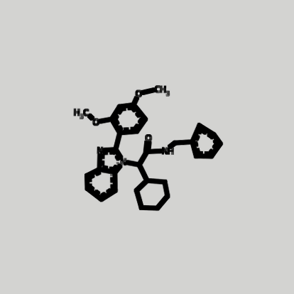 COc1ccc(-c2nc3ccccc3n2C(C(=O)NCc2ccccc2)C2CCCCC2)c(OC)c1